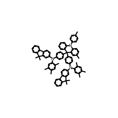 Cc1ccc(N2c3ccccc3C(c3ccc(N(c4ccc5c(c4)C(C)(C)c4ccccc4-5)c4cc(C)c(C)cc4C)cc3)(c3ccc(N(c4ccc5c(c4)C(C)(C)c4ccccc4-5)c4cc(C)c(C)cc4C)cc3)c3cc(C)ccc32)cc1